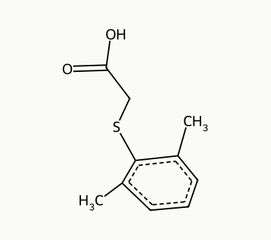 Cc1cccc(C)c1SCC(=O)O